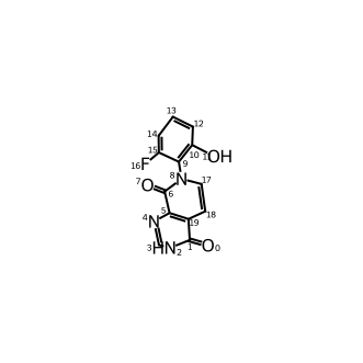 O=c1[nH]cnc2c(=O)n(-c3c(O)cccc3F)ccc12